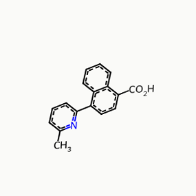 Cc1cccc(-c2ccc(C(=O)O)c3ccccc23)n1